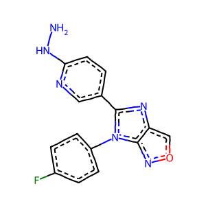 NNc1ccc(-c2nc3conc3n2-c2ccc(F)cc2)cn1